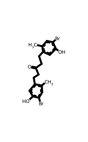 Cc1cc(Br)c(O)cc1CCC(=O)CCc1cc(O)c(Br)cc1C